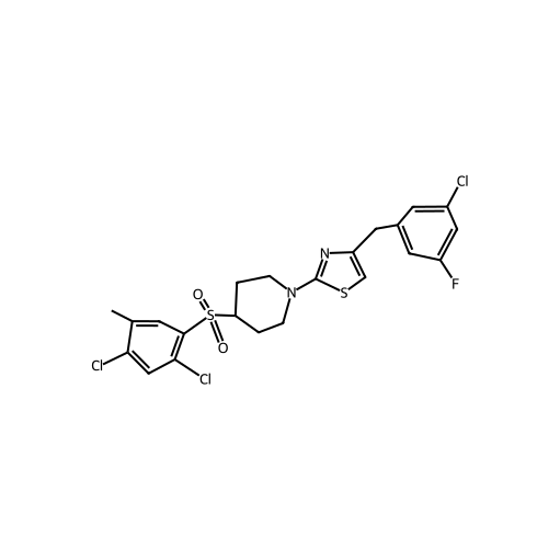 Cc1cc(S(=O)(=O)C2CCN(c3nc(Cc4cc(F)cc(Cl)c4)cs3)CC2)c(Cl)cc1Cl